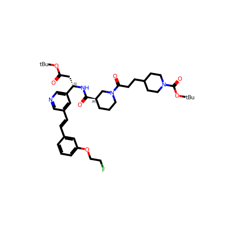 CC(C)(C)OC(=O)C[C@H](NC(=O)[C@@H]1CCCN(C(=O)CCC2CCN(C(=O)OC(C)(C)C)CC2)C1)c1cncc(C=Cc2cccc(OCCF)c2)c1